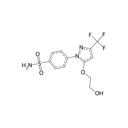 NS(=O)(=O)c1ccc(-n2nc(C(F)(F)F)cc2OCCO)cc1